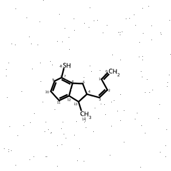 C=C/C=C\C1Cc2c(S)cccc2C1C